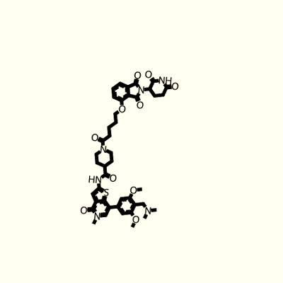 COc1cc(-c2cn(C)c(=O)c3cc(NC(=O)C4CCN(C(=O)CCCCOc5cccc6c5C(=O)N(C5CCC(=O)NC5=O)C6=O)CC4)sc23)cc(OC)c1CN(C)C